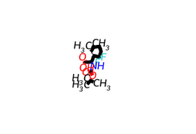 CC1(C)CCC(F)(F)[C@H]([C@H](NC(=O)OC(C)(C)C)C(=O)O)C1